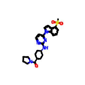 CS(=O)(=O)c1cccc2c1ccn2-c1ccnc(N[C@H]2CC[C@H](C(=O)N3CCCC3)CC2)n1